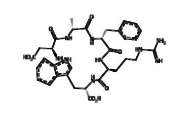 C[C@@H](NC(=O)[C@@H](N)CC(=O)O)C(=O)N[C@H](Cc1ccccc1)C(=O)N[C@@H](CCCNC(=N)N)C(=O)N[C@@H](Cc1c[nH]c2ccccc12)C(=O)O